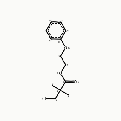 CC(C)(CI)C(=O)OCCOc1ccccc1